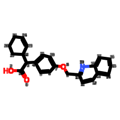 O=C(O)C(c1ccc(OCc2ccc3ccccc3n2)cc1)C1C=CCCC1